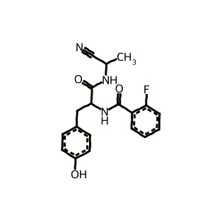 CC(C#N)NC(=O)C(Cc1ccc(O)cc1)NC(=O)c1ccccc1F